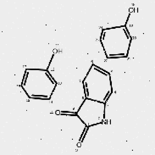 O=C1Nc2ccccc2C1=O.Oc1ccccc1.Oc1ccccc1